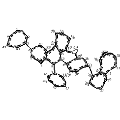 c1ccc(-c2ccc3c(-c4ccccc4)c4c5c(cccc5c3c2)Oc2cc(-c3cccc5ccccc35)ccc2-4)cc1